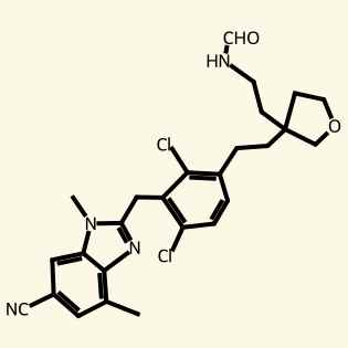 Cc1cc(C#N)cc2c1nc(Cc1c(Cl)ccc(CCC3(CCNC=O)CCOC3)c1Cl)n2C